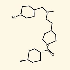 CC(=O)N1CCC(CN(C)CCC2CCN(C(=O)[C@H]3CC[C@H](C)CC3)CC2)CC1